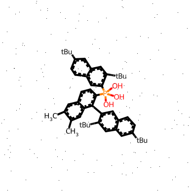 Cc1cc2ccc(P(O)(O)(O)c3cc4ccc(C(C)(C)C)cc4cc3C(C)(C)C)c(-c3cc4ccc(C(C)(C)C)cc4cc3C(C)(C)C)c2cc1C